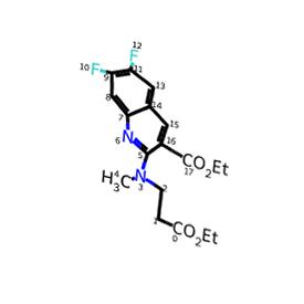 CCOC(=O)CCN(C)c1nc2cc(F)c(F)cc2cc1C(=O)OCC